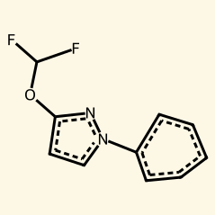 FC(F)Oc1ccn(-c2ccccc2)n1